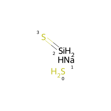 S.[NaH].[SiH2]=S